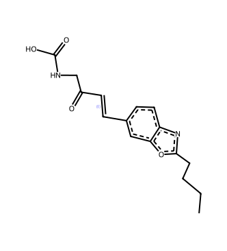 CCCCc1nc2ccc(/C=C/C(=O)CNC(=O)O)cc2o1